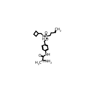 C=CCCP(=O)(NCC1CCC1)OCc1ccc(NC(=O)[C@H](C)N)cc1